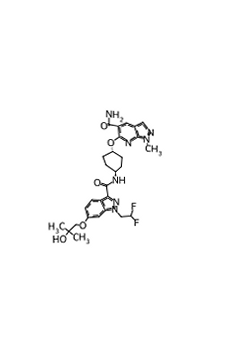 Cn1ncc2cc(C(N)=O)c(O[C@H]3CC[C@H](NC(=O)c4nn(CC(F)F)c5cc(OCC(C)(C)O)ccc45)CC3)nc21